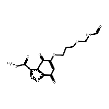 COC(=O)c1noc2c1C(=O)C(SCCCOCNC=O)=CC2=O